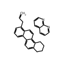 C=CCc1cccc2c1ccc1c3c(ccc12)CCCC3.c1cnc2ncccc2c1